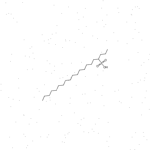 CCCCCCCCCCCCCCCCC(CCC)S(=O)(=O)O